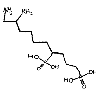 NCC(N)CCCCC(CCCP(=O)(O)O)P(=O)(O)O